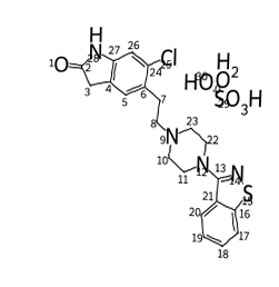 O.O=C1Cc2cc(CCN3CCN(c4nsc5ccccc45)CC3)c(Cl)cc2N1.O=S(=O)(O)O